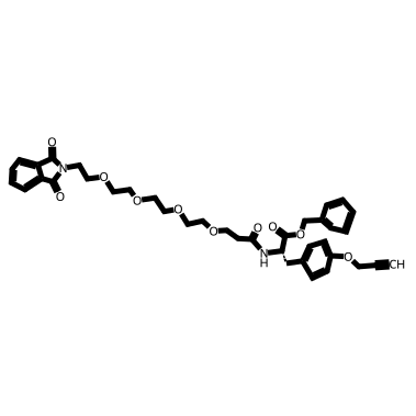 C#CCOc1ccc(C[C@H](NC(=O)CCOCCOCCOCCOCCN2C(=O)c3ccccc3C2=O)C(=O)OCc2ccccc2)cc1